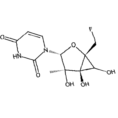 C[C@]1(O)[C@H](n2ccc(=O)[nH]c2=O)O[C@]2(CF)C(O)[C@]12O